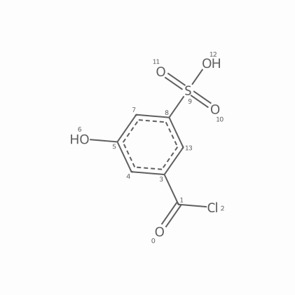 O=C(Cl)c1cc(O)cc(S(=O)(=O)O)c1